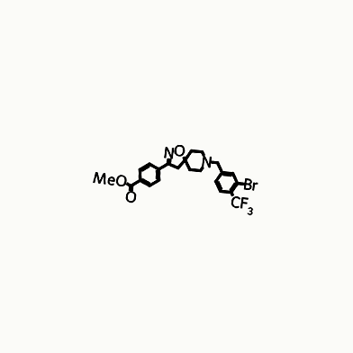 COC(=O)c1ccc(C2=NOC3(CCN(Cc4ccc(C(F)(F)F)c(Br)c4)CC3)C2)cc1